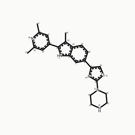 Cc1cc(-c2[nH]c3cc(-c4csc(N5CCNCC5)n4)ccc3c2C)cc(C)n1